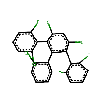 Fc1cccc(F)c1-c1c(Cl)[c]c(Cl)c(-c2c(F)cccc2Cl)c1-c1ccccc1Cl